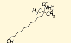 CCCCCCCCCCCC(C)(C)[NH2+][O-]